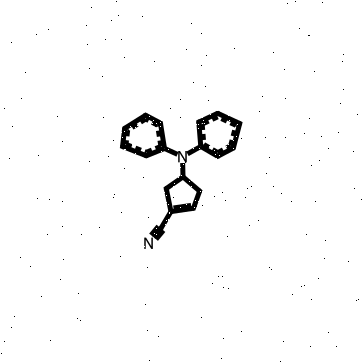 N#CC1=CCC(N(c2ccccc2)c2ccccc2)C1